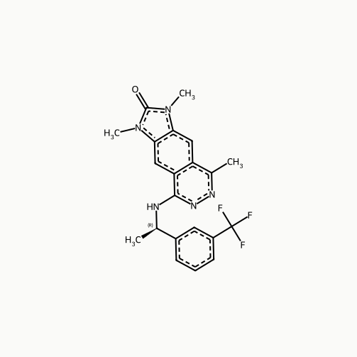 Cc1nnc(N[C@H](C)c2cccc(C(F)(F)F)c2)c2cc3c(cc12)n(C)c(=O)n3C